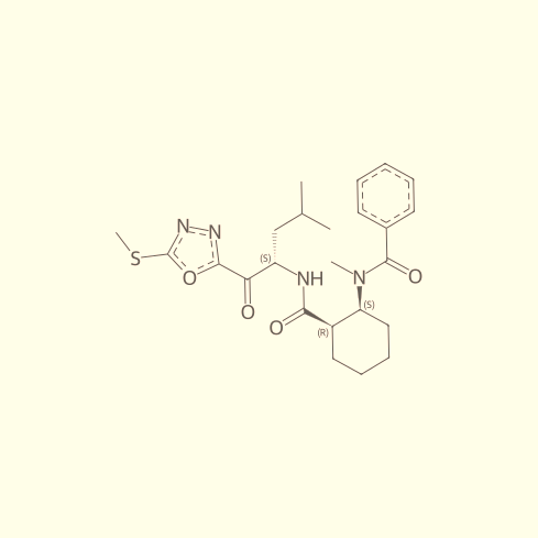 CSc1nnc(C(=O)[C@H](CC(C)C)NC(=O)[C@@H]2CCCC[C@@H]2N(C)C(=O)c2ccccc2)o1